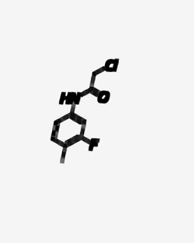 Cc1ccc(NC(=O)CCl)cc1F